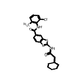 Cc1cccc(Cl)c1NC(=O)c1ccc2nc(NC(=O)CC3CCCCC3)sc2c1